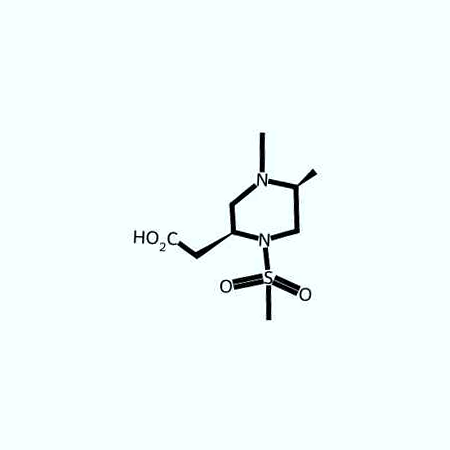 C[C@H]1CN(S(C)(=O)=O)[C@@H](CC(=O)O)CN1C